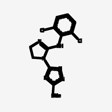 CSc1nnc(N2CCN=C2Nc2c(Cl)cccc2Cl)s1